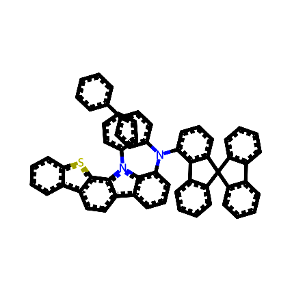 c1ccc(-c2ccc(N(c3cccc4c3-c3ccccc3C43c4ccccc4-c4ccccc43)c3cccc4c5ccc6c7ccccc7sc6c5n(-c5ccccc5)c34)cc2)cc1